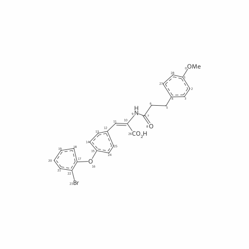 COc1ccc(CCC(=O)N/C(=C/c2ccc(Oc3ccccc3Br)cc2)C(=O)O)cc1